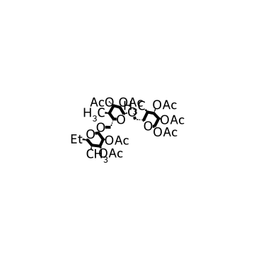 CC[C@H]1O[C@@H](OC[C@H]2O[C@@H](OC[C@H]3OC(OC(C)=O)[C@H](OC(C)=O)[C@@H](OC(C)=O)[C@@H]3C)[C@H](OC(C)=O)[C@@H](OC(C)=O)[C@@H]2C)[C@H](OC(C)=O)[C@@H](OC(C)=O)[C@@H]1C